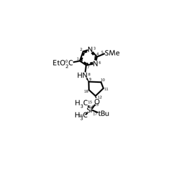 CCOC(=O)c1cnc(SC)nc1N[C@H]1CC[C@H](O[Si](C)(C)C(C)(C)C)C1